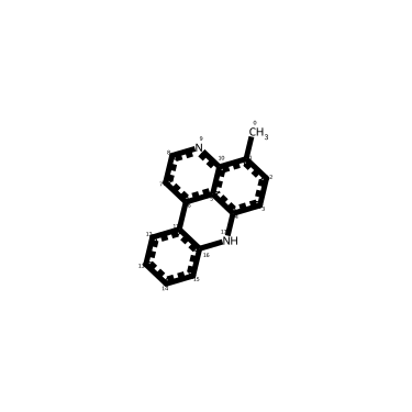 Cc1ccc2c3c(ccnc13)-c1ccccc1N2